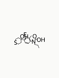 CCCN(C(=O)O)c1ccc(C2(O)CCSCC2)c(F)c1C